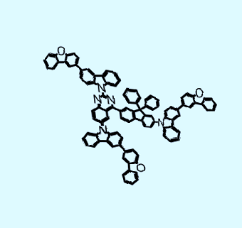 c1ccc(C2(c3ccccc3)c3cc(-c4nc(-n5c6ccccc6c6cc(-c7ccc8oc9ccccc9c8c7)ccc65)nc5ccc(-n6c7ccccc7c7cc(-c8ccc9oc%10ccccc%10c9c8)ccc76)cc45)ccc3-c3ccc(-n4c5ccccc5c5cc(-c6ccc7oc8ccccc8c7c6)ccc54)cc32)cc1